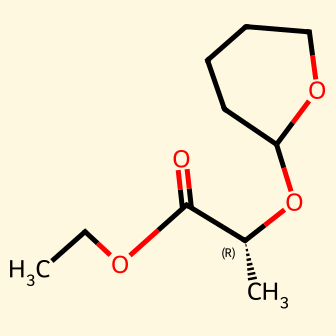 CCOC(=O)[C@@H](C)OC1CCCCO1